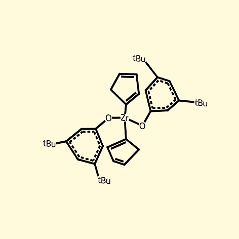 CC(C)(C)c1cc([O][Zr]([O]c2cc(C(C)(C)C)cc(C(C)(C)C)c2)([C]2=CC=CC2)[C]2=CC=CC2)cc(C(C)(C)C)c1